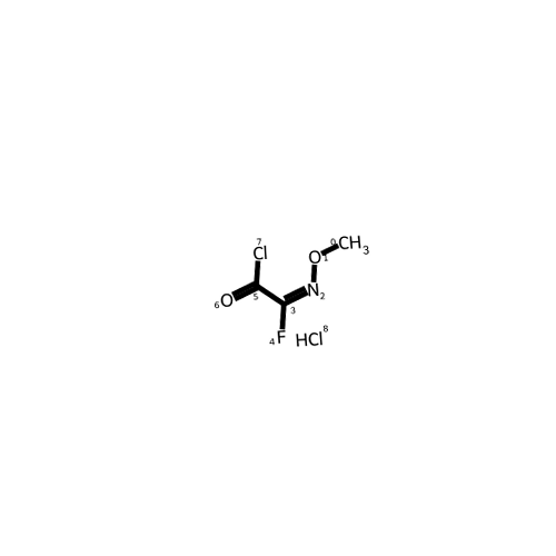 CO/N=C(/F)C(=O)Cl.Cl